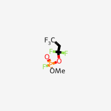 COP(=O)(F)OC(F)(F)CC(F)(F)F